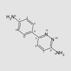 Nc1ccc(-c2ccc(N)nn2)cc1